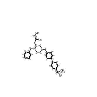 CC(C)NC(=O)CC1CN(Cc2ccc(-c3ccc(C(C)(O)C(F)(F)F)cc3)cc2)CCN1Cc1ccncc1